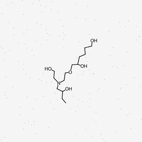 CCC(O)CN(CCO)CCOCC(O)CCCCO